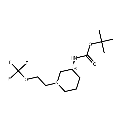 CC(C)(C)OC(=O)N[C@@H]1CCCN(CCOC(F)(F)F)C1